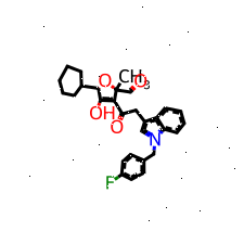 CC1(C=O)OC(C2CCCCC2)C(O)=C1C(=O)Cc1cn(Cc2ccc(F)cc2)c2ccccc12